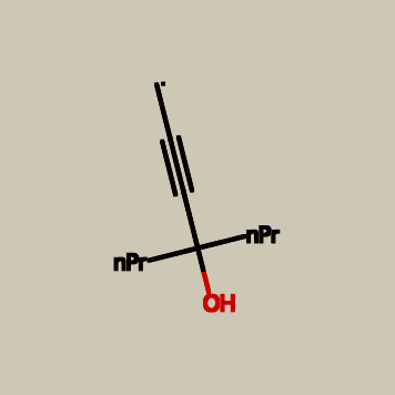 [CH2]C#CC(O)(CCC)CCC